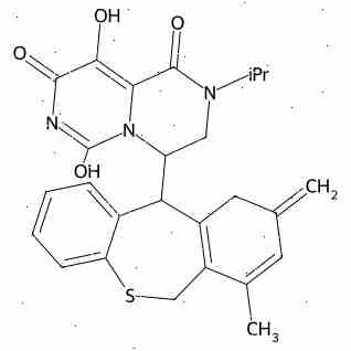 C=C1C=C(C)C2=C(C1)C(C1CN(C(C)C)C(=O)c3c(O)c(=O)nc(O)n31)c1ccccc1SC2